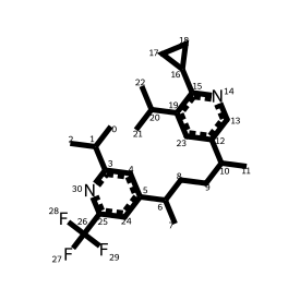 CC(C)c1cc(C(C)CCC(C)c2cnc(C3CC3)c(C(C)C)c2)cc(C(F)(F)F)n1